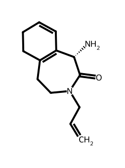 C=CCN1CCC2=C(C=CCC2)[C@H](N)C1=O